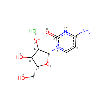 Cl.Nc1ccn([C@@H]2O[C@H](CO)C(O)C2O)c(=O)n1